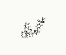 O=C(NC1CC1)c1ccc(-c2csc(NC(=O)[C@@H]3COC4(CCOCC4)N3C(=O)Cc3ccccc3)n2)cc1